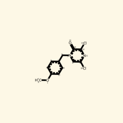 COc1ccc(Cn2cc(Cl)nc(Cl)c2=O)cc1